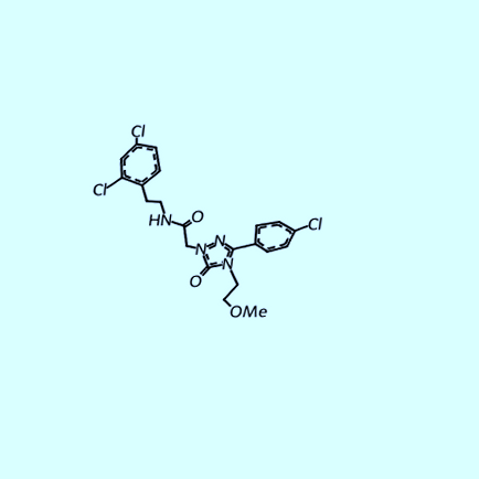 COCCn1c(-c2ccc(Cl)cc2)nn(CC(=O)NCCc2ccc(Cl)cc2Cl)c1=O